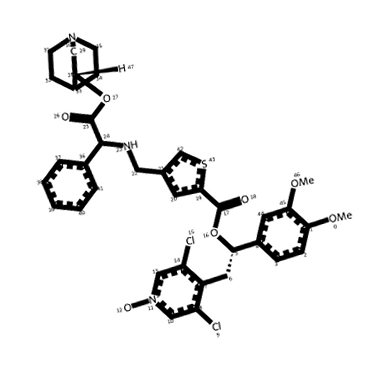 COc1ccc([C@H](Cc2c(Cl)c[n+]([O-])cc2Cl)OC(=O)c2cc(CNC(C(=O)O[C@H]3CN4CCC3CC4)c3ccccc3)cs2)cc1OC